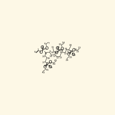 C=COP(=O)(OCC)C(CCCCCC(CCC(C)P(=O)(OCC)OCC)P(=O)(OCC)OCC)CCCP(=O)(OCC)OCC